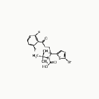 CC(C)(C)N(C(=O)O)C(CCC(=O)c1c(F)cccc1F)c1ccc(Br)s1